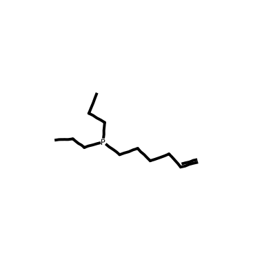 C=CCCCCP(CCC)CCC